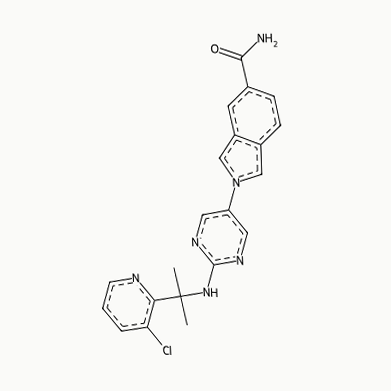 CC(C)(Nc1ncc(-n2cc3ccc(C(N)=O)cc3c2)cn1)c1ncccc1Cl